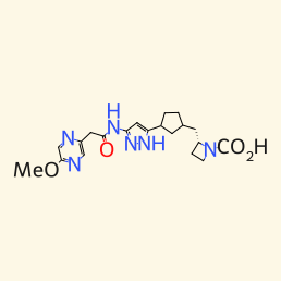 COc1cnc(CC(=O)Nc2cc(C3CCC(C[C@H]4CCN4C(=O)O)C3)[nH]n2)cn1